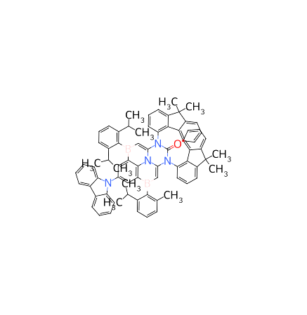 Cc1cccc(C(C)C)c1B1C=C2N(c3cccc4c3-c3ccccc3C4(C)C)C(=O)N(c3cccc4c3-c3ccccc3C4(C)C)C3=CB(c4c(C(C)C)cccc4C(C)C)c4cc(-n5c6ccccc6c6ccccc65)cc1c4N23